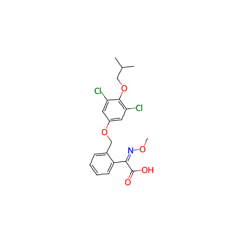 CON=C(C(=O)O)c1ccccc1COc1cc(Cl)c(OCC(C)C)c(Cl)c1